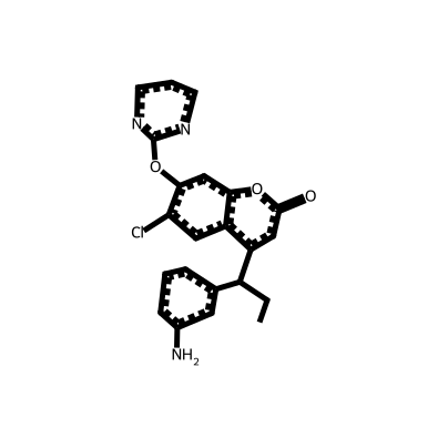 CCC(c1cccc(N)c1)c1cc(=O)oc2cc(Oc3ncccn3)c(Cl)cc12